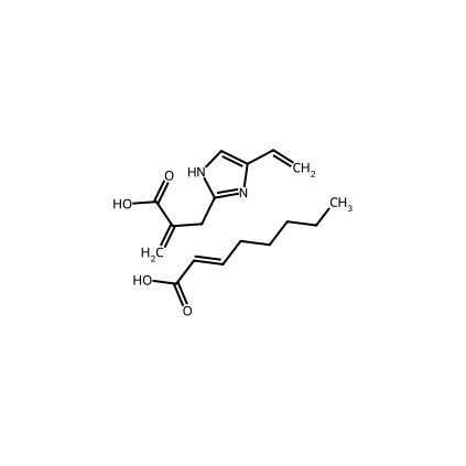 C=Cc1c[nH]c(CC(=C)C(=O)O)n1.CCCCCC=CC(=O)O